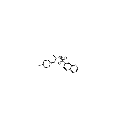 C[C@H](CN1CCN(C)CC1)NS(=O)(=O)c1ccc2ccccc2c1